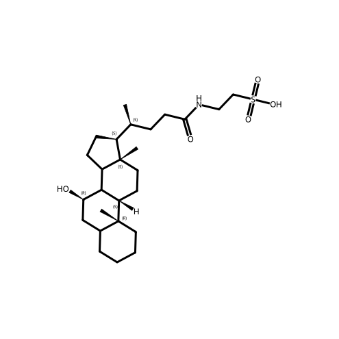 C[C@@H](CCC(=O)NCCS(=O)(=O)O)[C@@H]1CCC2C3[C@H](O)CC4CCCC[C@@]4(C)[C@H]3CC[C@]21C